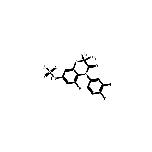 CC1(C)Oc2cc(NS(C)(=O)=O)cc(F)c2N(c2ccc(F)c(F)c2)C1=O